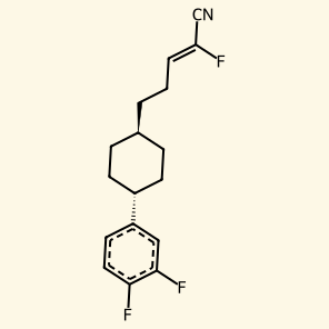 N#CC(F)=CCC[C@H]1CC[C@H](c2ccc(F)c(F)c2)CC1